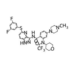 CN1CCN(c2ccc(C(=O)Nc3n[nH]c4ccc(Sc5cc(F)cc(F)c5)nc34)c(N(C(=O)C(F)(F)F)C3CCOCC3)c2)CC1